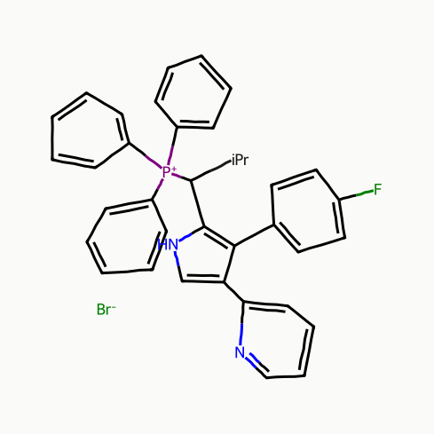 CC(C)C(c1[nH]cc(-c2ccccn2)c1-c1ccc(F)cc1)[P+](c1ccccc1)(c1ccccc1)c1ccccc1.[Br-]